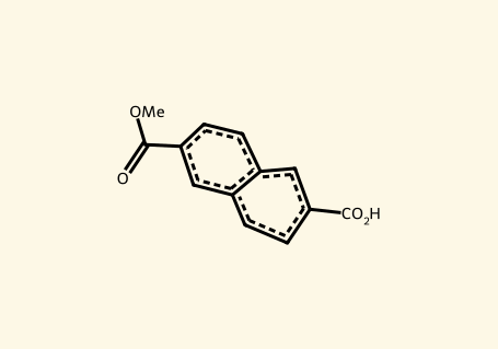 COC(=O)c1ccc2cc(C(=O)O)ccc2c1